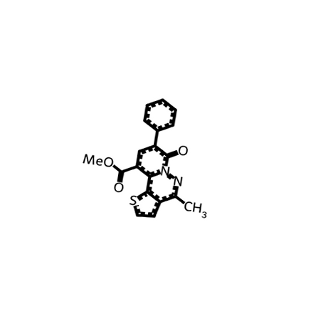 COC(=O)c1cc(-c2ccccc2)c(=O)n2nc(C)c3ccsc3c12